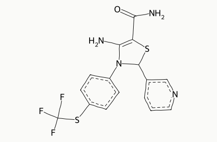 NC(=O)C1=C(N)N(c2ccc(SC(F)(F)F)cc2)C(c2cccnc2)S1